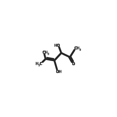 CC(=O)C(O)C(O)=C(C)C